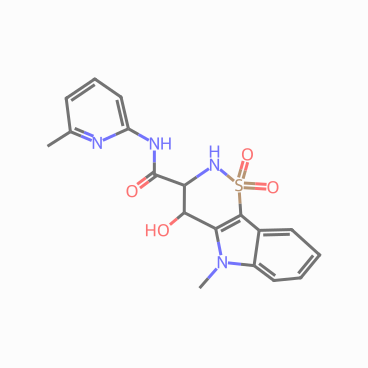 Cc1cccc(NC(=O)C2NS(=O)(=O)c3c(n(C)c4ccccc34)C2O)n1